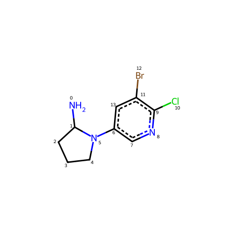 NC1CCCN1c1cnc(Cl)c(Br)c1